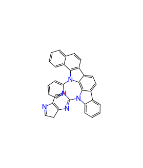 C1=Nc2cnc(-n3c4ccccc4c4ccc5c6ccc7ccccc7c6n(-c6ccccc6)c5c43)nc2C1